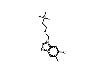 Cc1cc2ncn(COCC[Si](C)(C)C)c2cc1Cl